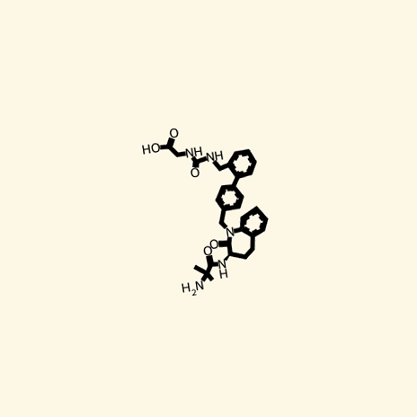 CC(C)(N)C(=O)N[C@@H]1CCc2ccccc2N(Cc2ccc(-c3ccccc3CNC(=O)NCC(=O)O)cc2)C1=O